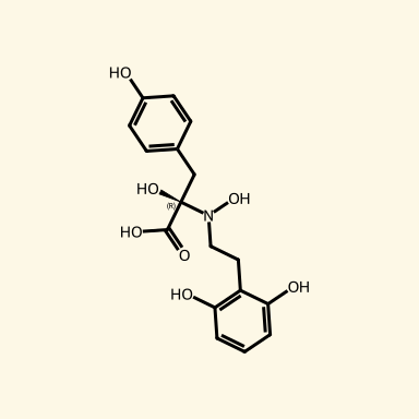 O=C(O)[C@](O)(Cc1ccc(O)cc1)N(O)CCc1c(O)cccc1O